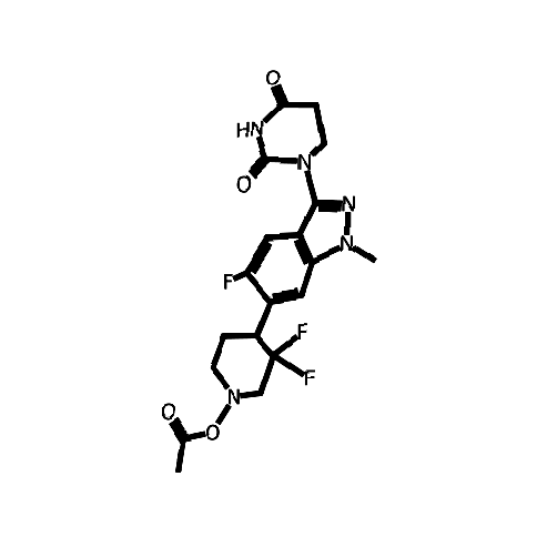 CC(=O)ON1CCC(c2cc3c(cc2F)c(N2CCC(=O)NC2=O)nn3C)C(F)(F)C1